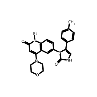 CCn1c(=O)cc(N2CCOCC2)c2cc(-n3c(-c4ccc(C)cc4)c[nH]c3=O)ccc21